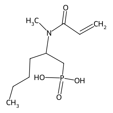 C=CC(=O)N(C)C(CCCC)CP(=O)(O)O